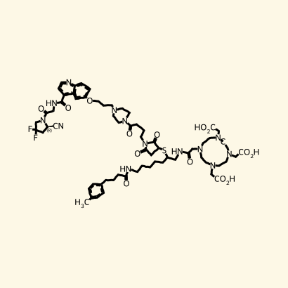 Cc1ccc(CCCC(=O)NCCCCCC(CNC(=O)CN2CCN(CC(=O)O)CCN(CC(=O)O)CCN(CC(=O)O)CC2)SC2CC(=O)N(CCCC(=O)N3CCN(CCCOc4ccc5nccc(C(=O)NCC(=O)N6CC(F)(F)C[C@@H]6C#N)c5c4)CC3)C2=O)cc1